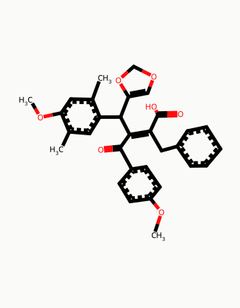 COc1ccc(C(=O)C(=C(Cc2ccccc2)C(=O)O)C(C2=COCO2)c2cc(C)c(OC)cc2C)cc1